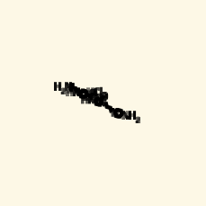 CC(C)(N)CNc1ccc(C(=O)Nc2ccn(CCCCN3CCC(N)CC3)c(=O)n2)cc1.Cl